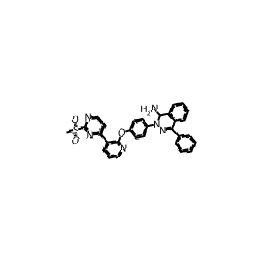 CS(=O)(=O)c1nccc(-c2cccnc2Oc2ccc(N3N=C(c4ccccc4)c4ccccc4C3N)cc2)n1